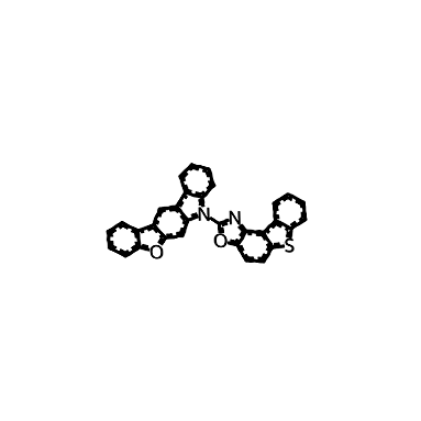 c1ccc2c(c1)oc1cc3c(cc12)c1ccccc1n3-c1nc2c(ccc3sc4ccccc4c32)o1